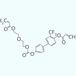 C=CC(=O)OCCOCCOC(=O)Oc1ccc(-c2ccc(OC(=O)C=C)c(C(F)(F)F)c2)cc1